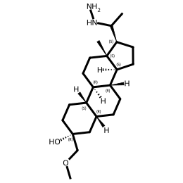 COC[C@@]1(O)CC[C@H]2[C@H](CC[C@@H]3[C@@H]2CC[C@]2(C)[C@@H](C(C)NN)CC[C@@H]32)C1